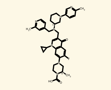 Cc1ccc(N2CCC[C@H](N(Cc3ccnc(C)c3)Cc3cn(C4CC4)c4cc(N5CCN(C(=O)O)[C@H](C)C5)c(F)cc4c3=O)C2)cn1